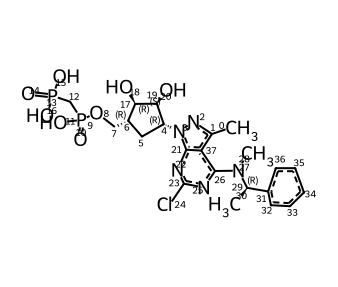 Cc1nn([C@@H]2C[C@H](COP(=O)(O)CP(=O)(O)O)[C@@H](O)[C@H]2O)c2nc(Cl)nc(N(C)[C@H](C)c3ccccc3)c12